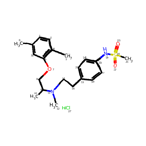 Cc1ccc(C)c(OCC(C)N(C)CCc2ccc(NS(C)(=O)=O)cc2)c1.Cl